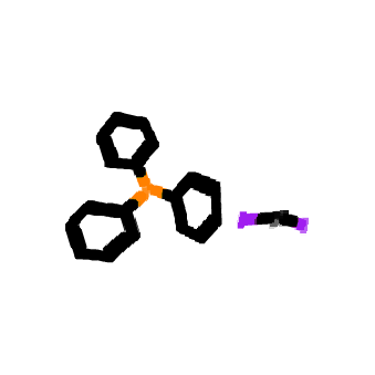 [I][Ni][I].c1ccc(P(c2ccccc2)c2ccccc2)cc1